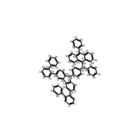 c1ccc(-c2ccccc2-c2ccc3c(c2)c2cc(-c4ccccc4-c4ccccc4)ccc2n3-c2ccc(N(c3ccccc3)c3c4ccccc4c(-c4ccccc4)c4ccccc34)cc2)cc1